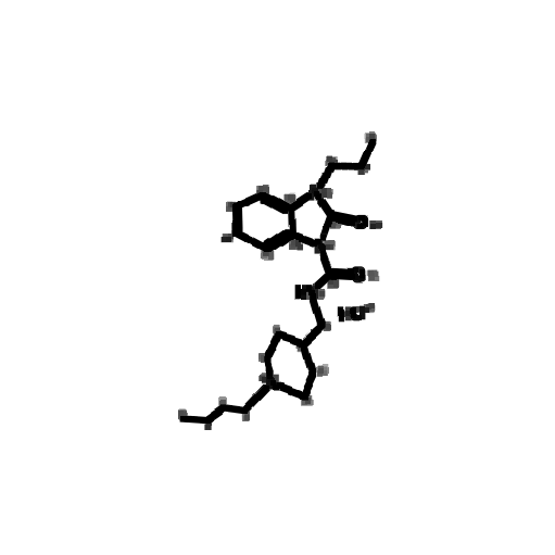 CCCCN1CCC(CNC(=O)n2c(=O)n(CCC)c3ccccc32)CC1.Cl